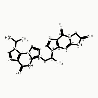 CC(C)n1cnc2c(=O)[nH]c3n(cc[n+]3CC(C)n3cnc4c(=O)n5c(nc43)NC(=O)C5)c21